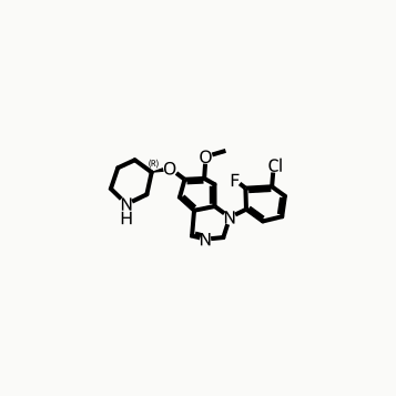 COc1cc2c(cc1O[C@@H]1CCCNC1)C=NCN2c1cccc(Cl)c1F